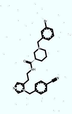 N#Cc1ccc(Cn2cncc2CCNC(=O)[C@H]2CCCN(Cc3cccc(Br)c3)C2)cc1